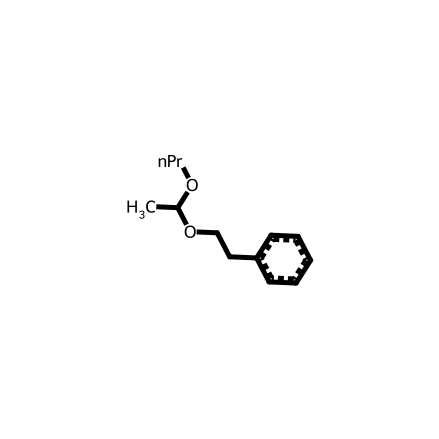 CCCOC(C)OCCc1ccccc1